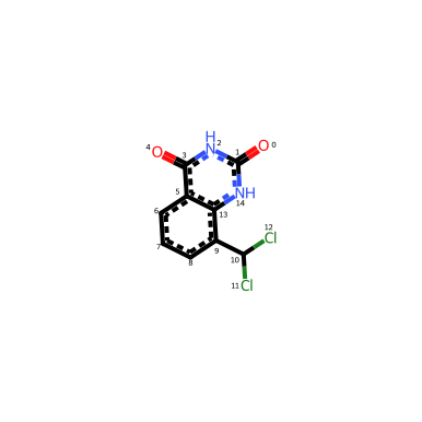 O=c1[nH]c(=O)c2cccc(C(Cl)Cl)c2[nH]1